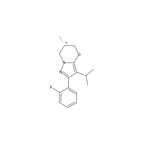 CC(C)c1c(-c2ccccc2F)nn2c1OC[C@@H](C)C2